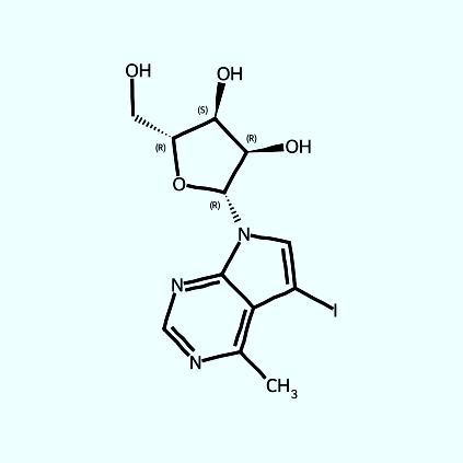 Cc1ncnc2c1c(I)cn2[C@@H]1O[C@H](CO)[C@@H](O)[C@H]1O